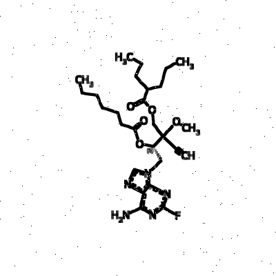 C#CC(COC(=O)C(CCC)CCC)(OC)[C@H](Cn1cnc2c(N)nc(F)nc21)OC(=O)CCCCCC